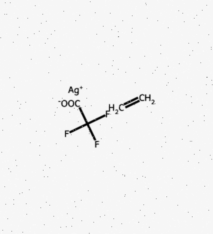 C=C.O=C([O-])C(F)(F)F.[Ag+]